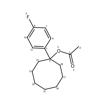 CC(=O)OC1(c2ccc(F)cc2)CCCCCCC1